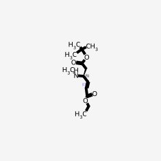 CCOC(=O)/C=C/[C@H](CC(=O)OC(C)(C)C)NC